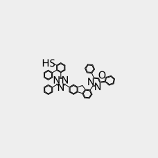 Sc1cccc(-c2nc(-c3ccccc3)nc(-c3ccc4c(c3)Cc3c(-c5nc(-c6ccccc6)c6oc7ccccc7c6n5)cccc3-4)n2)c1-c1ccccc1